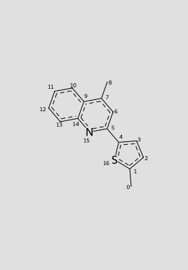 Cc1ccc(-c2cc(C)c3ccccc3n2)s1